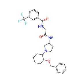 O=C(CNC(=O)c1cccc(C(F)(F)F)c1)N[C@@H]1CCN(C2CCCCC2OCc2ccccc2)C1